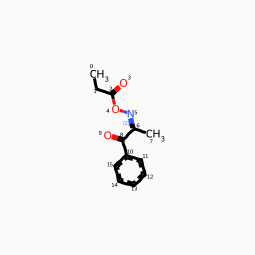 CCC(=O)O/N=C(/C)C(=O)c1ccccc1